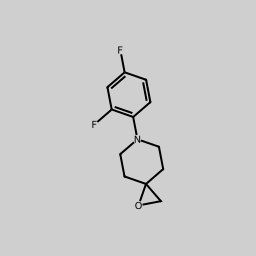 Fc1ccc(N2CCC3(CC2)CO3)c(F)c1